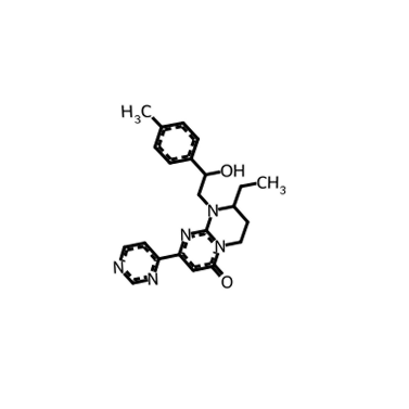 CCC1CCn2c(nc(-c3ccncn3)cc2=O)N1CC(O)c1ccc(C)cc1